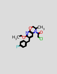 CCOc1nc2c(cc1Cc1ccc(F)cc1)N(C(=O)CCl)C(C)CO2